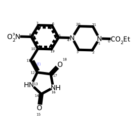 CCOC(=O)N1CCN(c2ccc([N+](=O)[O-])c(/C=C3/NC(=O)NC3=O)c2)CC1